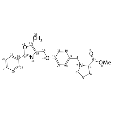 COC(=O)C1CCCN1Cc1ccc(OCc2nc(-c3ccccc3)oc2C)cc1